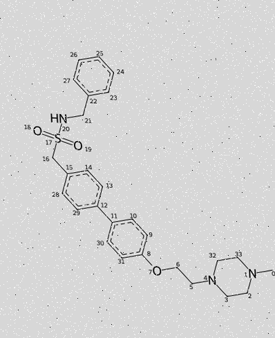 CN1CCN(CCOc2ccc(-c3ccc(CS(=O)(=O)NCc4ccccc4)cc3)cc2)CC1